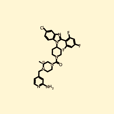 C[C@H]1CN(C(=O)N2CCC(n3c(-c4c(F)cc(F)cc4F)nc4cc(Cl)ccc43)CC2)CCN1Cc1ccnc(N)c1